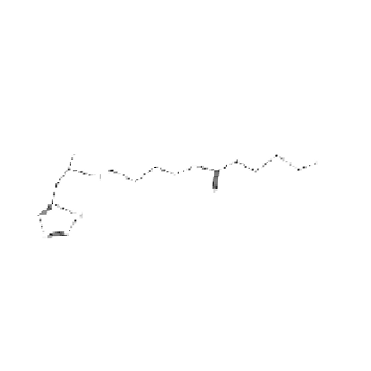 O=CC(Cc1cnc[nH]1)NCCCCNC(=O)CCCCC(=O)O